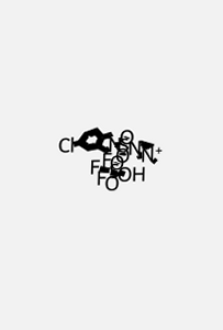 C[n+]1ccn(S(=O)(=O)N2Cc3ccc(Cl)cc3C2)c1.O=S(=O)(O)C(F)(F)F